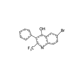 Oc1c(-c2ccccc2)c(C(F)(F)F)nc2ccc(Br)cc12